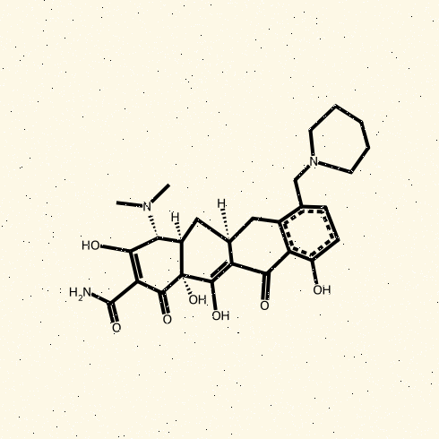 CN(C)[C@H]1C(O)=C(C(N)=O)C(=O)[C@]2(O)C(O)=C3C(=O)c4c(O)ccc(CN5CCCCC5)c4C[C@@H]3C[C@H]12